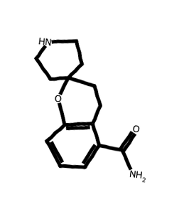 NC(=O)c1cccc2c1CCC1(CCNCC1)O2